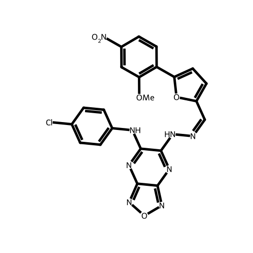 COc1cc([N+](=O)[O-])ccc1-c1ccc(/C=N\Nc2nc3nonc3nc2Nc2ccc(Cl)cc2)o1